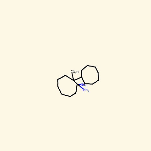 NC1(N)CCCCCCC1(C(=O)O)C1CCCCCCC1